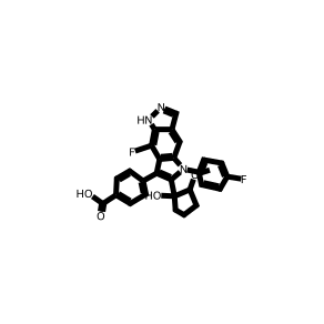 COC1CCCC1(O)c1c(-c2ccc(C(=O)O)cc2)c2c(F)c3[nH]ncc3cc2n1-c1ccc(F)cc1